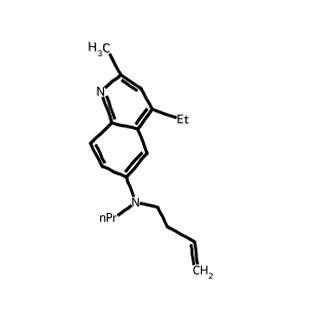 C=CCCN(CCC)c1ccc2nc(C)cc(CC)c2c1